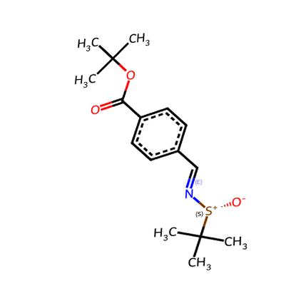 CC(C)(C)OC(=O)c1ccc(/C=N/[S@+]([O-])C(C)(C)C)cc1